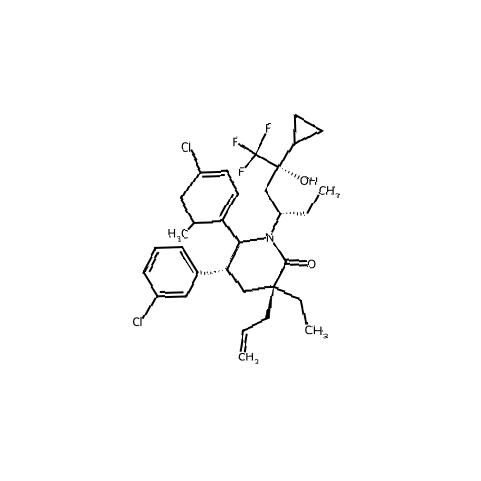 C=CC[C@@]1(CC)C[C@H](c2cccc(Cl)c2)C(C2=CC=C(Cl)CC2C)N([C@@H](CC)C[C@](O)(C2CC2)C(F)(F)F)C1=O